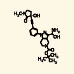 CN1CC[C@@](O)(C#Cc2cccc(-n3nc(C(N)O)c4c3CCN(C(=O)OC(C)(C)C)C4)c2)C1=O